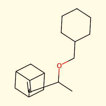 CC(OCC1CCCCC1)C1=C2C3CC(C1)CC2C3